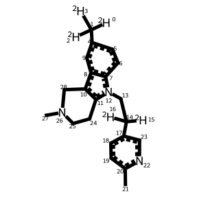 [2H]C([2H])([2H])c1ccc2c(c1)c1c(n2CC([2H])([2H])c2ccc(C)nc2)CCN(C)C1